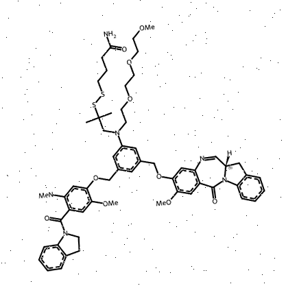 CNc1cc(OCc2cc(COc3cc4c(cc3OC)C(=O)N3c5ccccc5C[C@H]3C=N4)cc(N(CCOCCOCCOC)CC(C)(C)SSCCCC(N)=O)c2)c(OC)cc1C(=O)N1CCc2ccccc21